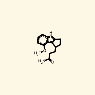 COc1cccc2[nH]c3c(c12)C(CCC(N)=O)CC3